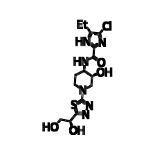 CCc1[nH]c(C(=O)N[C@@H]2CCN(c3nnc([C@@H](O)CO)s3)C[C@@H]2O)nc1Cl